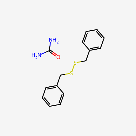 NC(N)=O.c1ccc(CSSCc2ccccc2)cc1